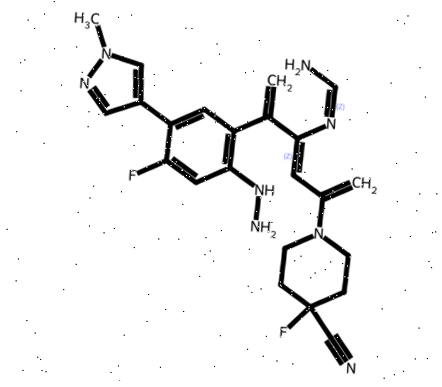 C=C(C(=C/C(=C)N1CCC(F)(C#N)CC1)/N=C\N)c1cc(-c2cnn(C)c2)c(F)cc1NN